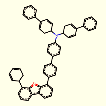 C1=CCC(c2cccc3c2oc2c(-c4ccc(-c5ccc(N(C6C=CC(c7ccccc7)=CC6)C6C=CC(c7ccccc7)=CC6)cc5)cc4)cccc23)C=C1